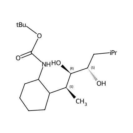 CC(C)C[C@H](O)[C@H](O)[C@@H](C)C1CCCCC1NC(=O)OC(C)(C)C